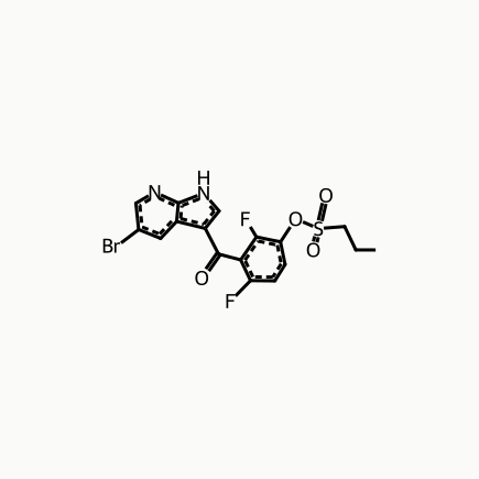 CCCS(=O)(=O)Oc1ccc(F)c(C(=O)c2c[nH]c3ncc(Br)cc23)c1F